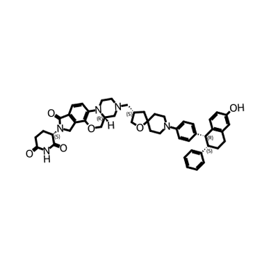 O=C1CC[C@H](N2Cc3c(ccc4c3OC[C@H]3CN(C[C@H]5COC6(CCN(c7ccc([C@@H]8c9ccc(O)cc9CC[C@@H]8c8ccccc8)cc7)CC6)C5)CCN43)C2=O)C(=O)N1